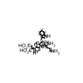 CC(C)C[C@H](NC(=O)[C@H](Cc1c[nH]c2ccccc12)NC(=O)[C@@H](N)CCCN)C(=O)N[C@@H](CC(=O)O)C(=O)O